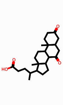 CC(CCC(=O)O)C1CCC2C3C(=O)CC4CC(=O)CCC4(C)C3CCC12C